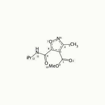 COC(=O)c1c(C)noc1C(=O)NC(C)C